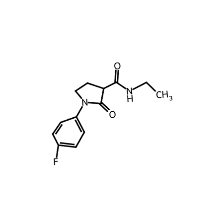 CCNC(=O)C1CCN(c2ccc(F)cc2)C1=O